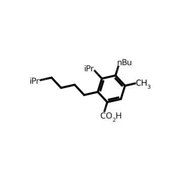 CCCCc1c(C)cc(C(=O)O)c(CCCCC(C)C)c1C(C)C